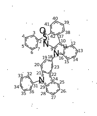 O=S1(c2ccccc2)=Nc2c(c3ccccc3n2-c2ccc3c(c2)c2ccccc2n3-c2ccccc2)-c2ccccc21